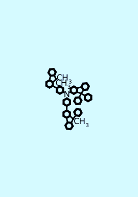 CC1(C)c2ccccc2-c2cccc(-c3ccc(N(c4ccc(-c5ccc6c(c5)C(C)(c5ccccc5)c5ccccc5-6)cc4)c4ccc5c(c4)C(c4ccccc4)(c4ccccc4)c4ccccc4-5)cc3)c21